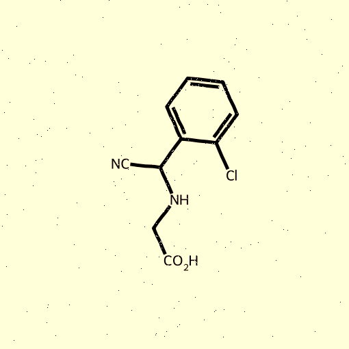 N#CC(NCC(=O)O)c1ccccc1Cl